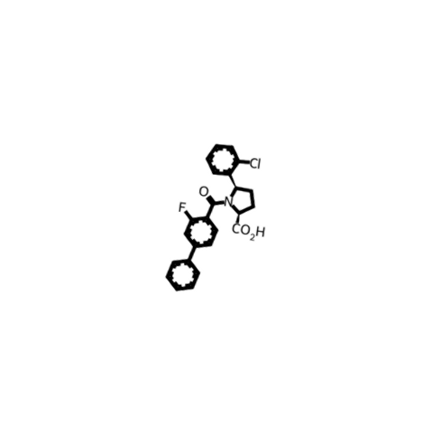 O=C(O)[C@@H]1CC[C@H](c2ccccc2Cl)N1C(=O)c1ccc(-c2ccccc2)cc1F